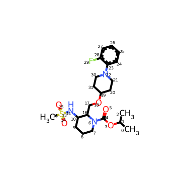 CC(C)OC(=O)N1CCCC(NS(C)(=O)=O)C1COC1CCN(c2ccccc2F)CC1